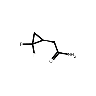 NC(=O)C[C@@H]1CC1(F)F